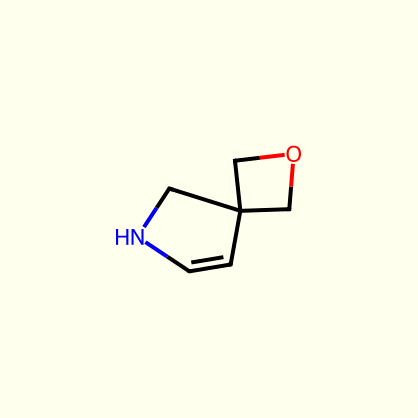 C1=CC2(CN1)COC2